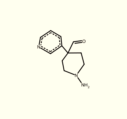 NN1CCC(C=O)(c2cccnc2)CC1